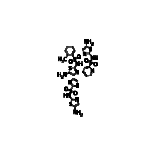 Cc1ccccc1S(=O)(=O)Nc1ncc(N)s1.Nc1cnc(NS(=O)(=O)c2ccccn2)s1.Nc1cnc(NS(=O)(=O)c2nccs2)s1